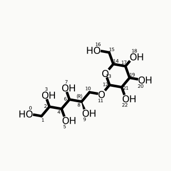 OCC(O)C(O)C(O)[C@H](O)COC1OC(CO)C(O)C(O)C1O